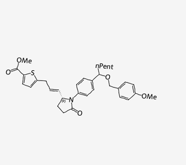 CCCCCC(OCc1ccc(OC)cc1)c1ccc(N2C(=O)CC[C@@H]2C=CCc2ccc(C(=O)OC)s2)cc1